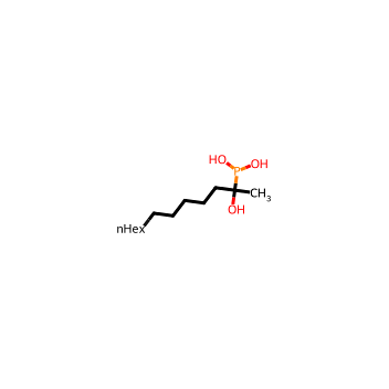 CCCCCCCCCCCC(C)(O)P(O)O